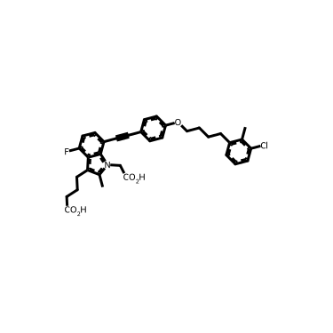 Cc1c(Cl)cccc1CCCCOc1ccc(C#Cc2ccc(F)c3c(CCCC(=O)O)c(C)n(CC(=O)O)c23)cc1